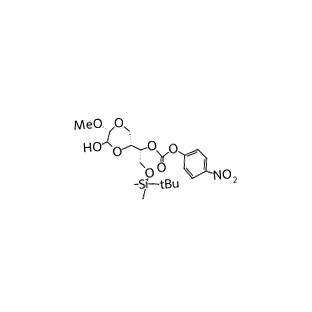 CO[C@@H]1OC[C@H]([C@@H](CO[Si](C)(C)C(C)(C)C)OC(=O)Oc2ccc([N+](=O)[O-])cc2)OC1O